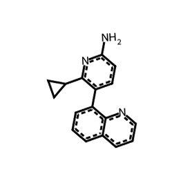 Nc1ccc(-c2cccc3cccnc23)c(C2CC2)n1